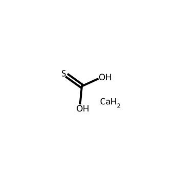 OC(O)=S.[CaH2]